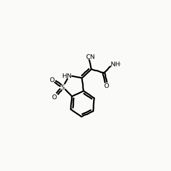 N#CC(C([NH])=O)=C1NS(=O)(=O)c2ccccc21